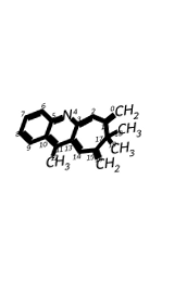 C=C1C=c2nc3ccccc3c(C)c2=CC(=C)C1(C)C